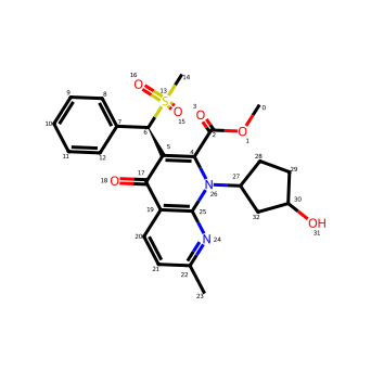 COC(=O)c1c([C@@H](c2ccccc2)S(C)(=O)=O)c(=O)c2ccc(C)nc2n1C1CCC(O)C1